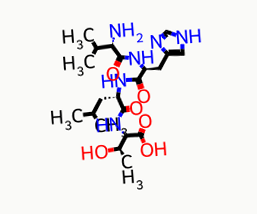 CC(C)C[C@H](NC(=O)[C@H](Cc1c[nH]cn1)NC(=O)[C@@H](N)C(C)C)C(=O)N[C@H](C(=O)O)[C@@H](C)O